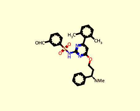 CN[C@H](CCOc1cc(-c2c(C)cccc2C)nc(NS(=O)(=O)c2cccc(C=O)c2)n1)c1ccccc1